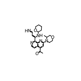 CC(=O)c1cc(N2CCOCC2C)nc2c(/C(=C/C=N)NC3CCCCO3)nccc12